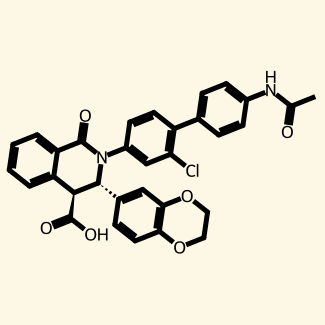 CC(=O)Nc1ccc(-c2ccc(N3C(=O)c4ccccc4[C@H](C(=O)O)[C@H]3c3ccc4c(c3)OCCO4)cc2Cl)cc1